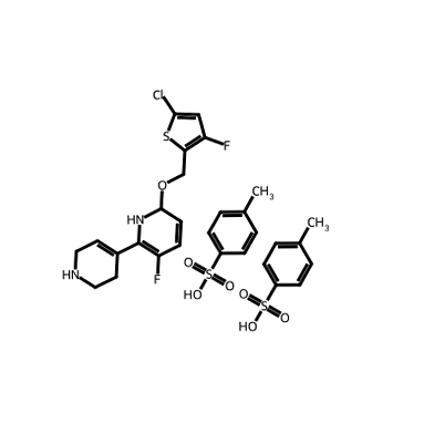 Cc1ccc(S(=O)(=O)O)cc1.Cc1ccc(S(=O)(=O)O)cc1.FC1=C(C2=CCNCC2)NC(OCc2sc(Cl)cc2F)C=C1